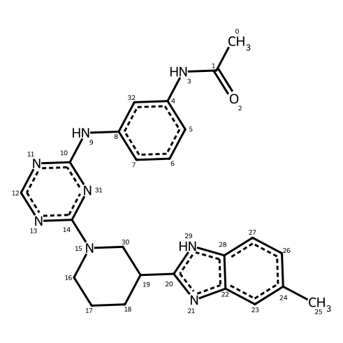 CC(=O)Nc1cccc(Nc2ncnc(N3CCCC(c4nc5cc(C)ccc5[nH]4)C3)n2)c1